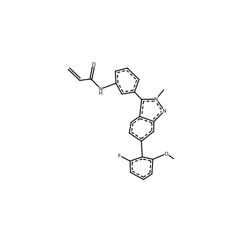 C=CC(=O)Nc1cccc(-c2c3ccc(-c4c(F)cccc4OC)cc3nn2C)c1